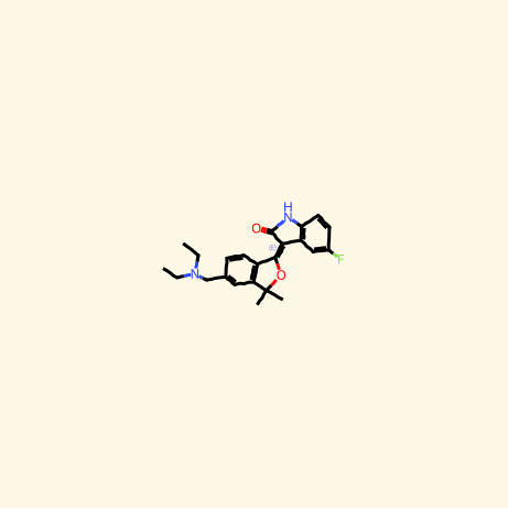 CCN(CC)Cc1ccc2c(c1)C(C)(C)O/C2=C1/C(=O)Nc2ccc(F)cc21